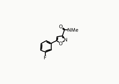 CNC(=O)c1cc(-c2cccc(F)c2)on1